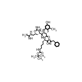 Cc1cc(O)cc(C)c1C[C@@H](NC(=O)[C@H](CCCNC(=N)N)OC(N)=O)C(=O)N[C@H](CCCCNC(=O)OC(C)(C)C)c1nc(Cc2ccccc2)no1